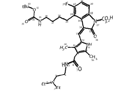 CCN(CC)CCNC(=O)c1c(C)[nH]c(C=C2C(=O)N(C(=O)O)c3ccc(F)c(CCCCNC(=O)OC(C)(C)C)c32)c1C